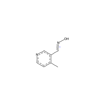 Cc1ccncc1/C=N/O